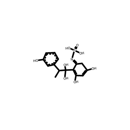 CC(c1cccc(O)c1)C(O)(O)C1=C(O)C=C(O)CC1=NP(=O)(O)O